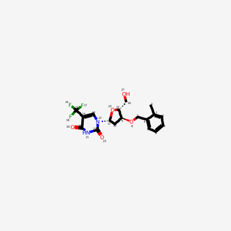 Cc1ccccc1CO[C@H]1C[C@H](n2cc(C(F)(F)F)c(=O)[nH]c2=O)O[C@@H]1CO